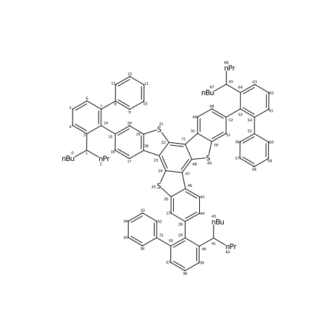 CCCCC(CCC)c1cccc(-c2ccccc2)c1-c1ccc2c(c1)sc1c2c2sc3cc(-c4c(-c5ccccc5)cccc4C(CCC)CCCC)ccc3c2c2sc3cc(-c4c(-c5ccccc5)cccc4C(CCC)CCCC)ccc3c12